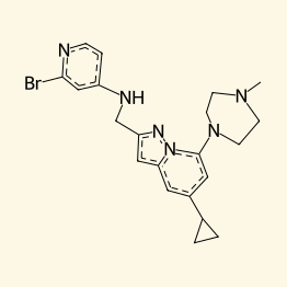 CN1CCN(c2cc(C3CC3)cc3cc(CNc4ccnc(Br)c4)nn23)CC1